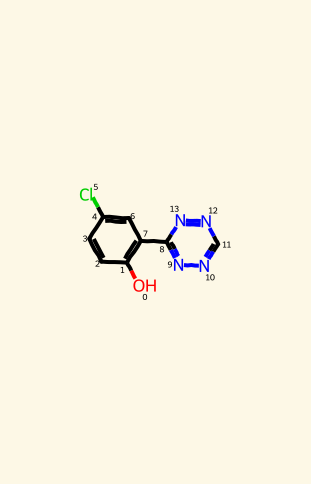 Oc1ccc(Cl)cc1-c1nncnn1